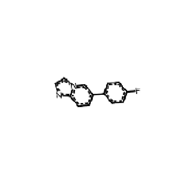 Fc1ccc(-c2ccc3nccn3c2)cc1